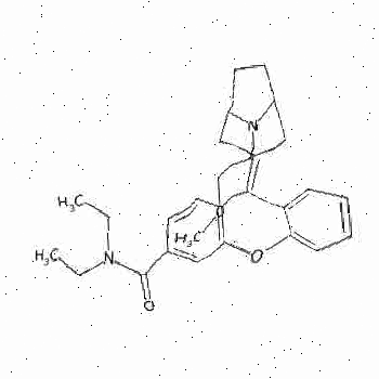 CCN(CC)C(=O)c1ccc2c(c1)Oc1ccccc1C2=C1CC2CCC(C1)N2CCOC